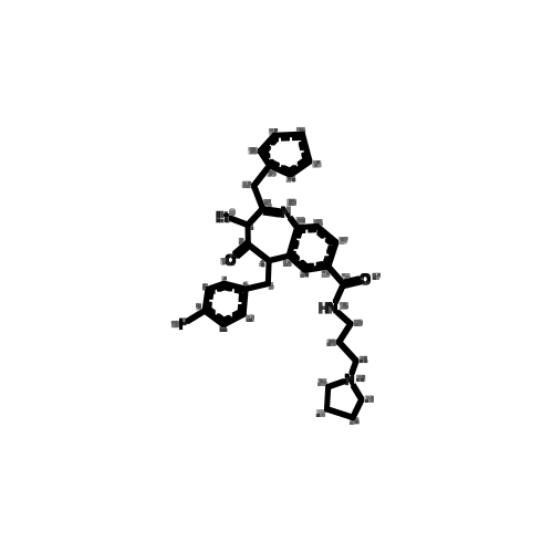 CCC1C(=O)C(Cc2ccc(F)cc2)c2cc(C(=O)NCCCN3CCCC3)ccc2N=C1Cc1ccccc1